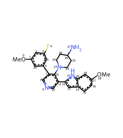 COc1cc(F)cc(-c2cncc(-c3cc4ccc(OC)cc4[nH]3)c2N2CCC(N)CC2)c1